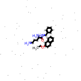 CCOc1ccc2ccccc2c1.NCCCC(N)C(=O)NCc1ccccc1